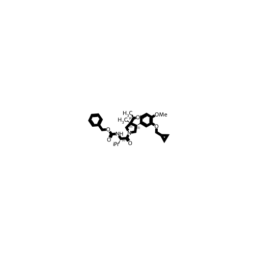 COc1ccc([C@@H]2CN(C(=O)[C@@H](NC(=O)OCc3ccccc3)C(C)C)C[C@@]2(C)[C@@H](C)O)cc1OCC1CC1